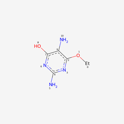 CCOc1nc(N)nc(O)c1N